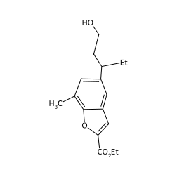 CCOC(=O)c1cc2cc(C(CC)CCO)cc(C)c2o1